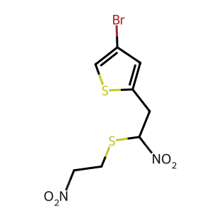 O=[N+]([O-])CCSC(Cc1cc(Br)cs1)[N+](=O)[O-]